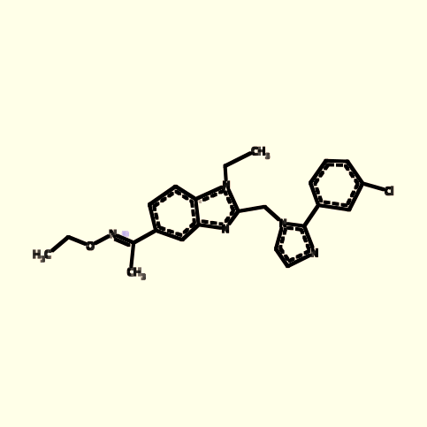 CCO/N=C(\C)c1ccc2c(c1)nc(Cn1ccnc1-c1cccc(Cl)c1)n2CC